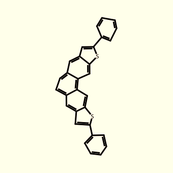 c1ccc(-c2cc3cc4ccc5cc6cc(-c7ccccc7)sc6cc5c4cc3s2)cc1